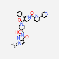 Cn1ccc2c(=O)n(CC3(O)CCN(C(=O)[C@@H]4CCN(C(=O)c5cccc(-c6ccncc6)n5)C[C@H]4c4ccccc4)CC3)cnc21